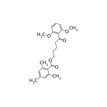 COc1cccc(OC)c1C(=O)CCCCOC(=O)c1c(C)cc(C)cc1C